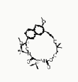 COc1cc2ccc3cc2cc1C=CCC(C)(C)CCOC(=O)N[C@@H](C(C)C)C(=O)N1C[C@@]3(OC)C[C@H]1C